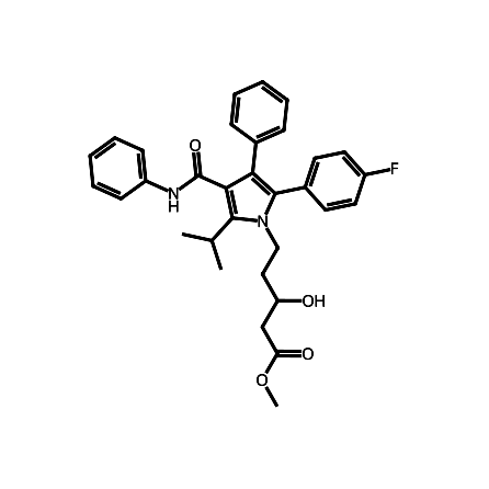 COC(=O)CC(O)CCn1c(-c2ccc(F)cc2)c(-c2ccccc2)c(C(=O)Nc2ccccc2)c1C(C)C